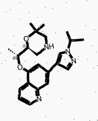 CC(C)n1cc(-c2cc(O[C@H](C)[C@@H]3CNCC(C)(C)O3)c3cccnc3c2)cn1